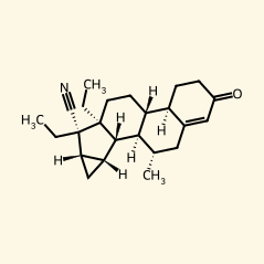 CC[C@]12CC[C@H]3[C@H]([C@@H]1[C@@H]1C[C@@H]1[C@@]2(C#N)CC)[C@@H](C)CC1=CC(=O)CC[C@@H]13